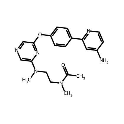 CC(=O)N(C)CCN(C)c1cncc(Oc2ccc(-c3cc(N)ccn3)cc2)n1